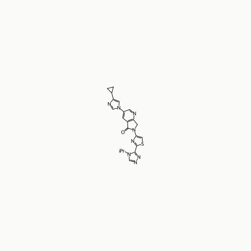 CC(C)n1cnnc1-c1nc(N2Cc3ncc(-n4cnc(C5CC5)c4)cc3C2=O)cs1